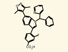 Cc1noc(C)c1-c1ccc2c(-c3ccc(C(=O)O)cc3F)cn(C(c3ccccc3)c3ccccn3)c2c1